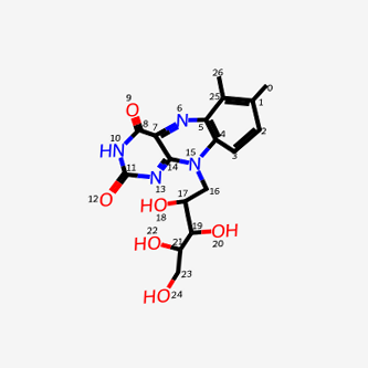 Cc1ccc2c(nc3c(=O)[nH]c(=O)nc-3n2CC(O)C(O)C(O)CO)c1C